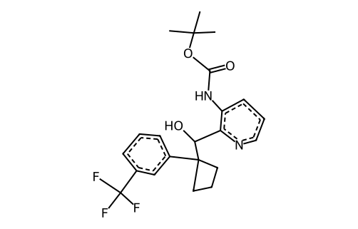 CC(C)(C)OC(=O)Nc1cccnc1C(O)C1(c2cccc(C(F)(F)F)c2)CCC1